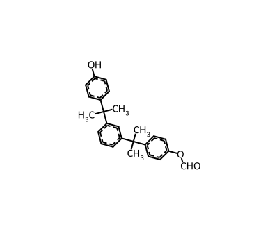 CC(C)(c1ccc(O)cc1)c1cccc(C(C)(C)c2ccc(OC=O)cc2)c1